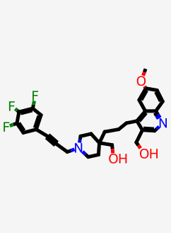 COc1ccc2ncc(CO)c(CCCC3(CO)CCN(CC#Cc4cc(F)c(F)c(F)c4)CC3)c2c1